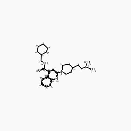 CN(C)CCC1CCN(c2cc(C(=O)NCC3CCCCC3)c3ccccc3n2)CC1